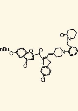 CCCCOc1ccc2oc(C(=O)N[C@@H](C=C3CCN(c4ccccc4CN4CCCCC4=O)CC3)Cc3ccc(Cl)cc3)cc(=O)c2c1